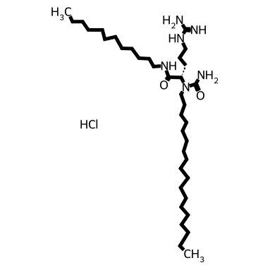 CCCCCCCCCCCCCCCCCCN(C(N)=O)[C@@H](CCCNC(=N)N)C(=O)NCCCCCCCCCCCC.Cl